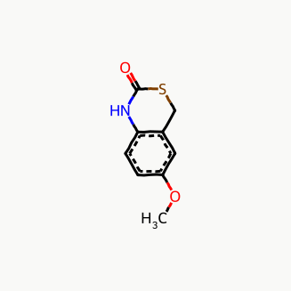 COc1ccc2c(c1)CSC(=O)N2